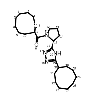 O=C(C1CCCCCCCC1)N1CCC[C@H]1c1nnc(C2CCCCCCCC2)[nH]1